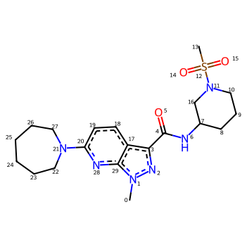 Cn1nc(C(=O)NC2CCCN(S(C)(=O)=O)C2)c2ccc(N3CCCCCC3)nc21